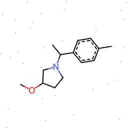 COC1CCN(C(C)c2ccc(C)cc2)C1